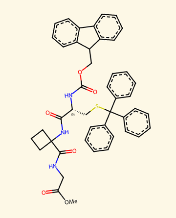 COC(=O)CNC(=O)C1(NC(=O)[C@@H](CSC(c2ccccc2)(c2ccccc2)c2ccccc2)NC(=O)OCC2c3ccccc3-c3ccccc32)CCC1